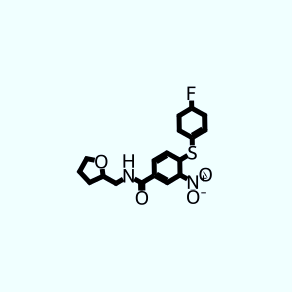 O=C(NCC1CCCO1)C1=CC([N+](=O)[O-])C(SC2=CCC(F)CC2)C=C1